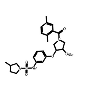 COC1CN(C(=O)c2cc(C)ccc2C)CC1Oc1cccc(NS(=O)(=O)N2CCC(C)C2)c1